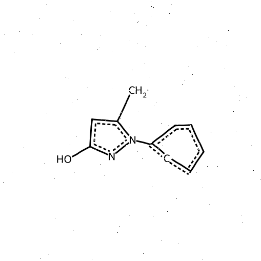 [CH2]c1cc(O)nn1-c1ccccc1